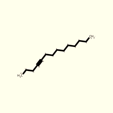 [CH2]CCCCCCCCC#CCCC